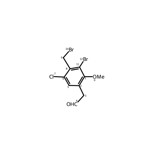 COc1c(CC=O)cc(Cl)c(CBr)c1Br